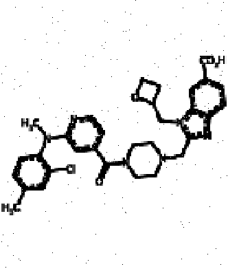 Cc1ccc(N(C)c2cc(C(=O)N3CCN(Cc4nc5ccc(C(=O)O)cc5n4C[C@@H]4CCO4)CC3)ccn2)c(Cl)c1